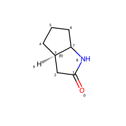 O=C1C[C@H]2CCCC2N1